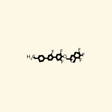 CCc1ccc(-c2ccc(-c3cc(F)c(OCc4ccc5c(F)c(F)c(F)cc5c4)c(F)c3)c(F)c2)cc1